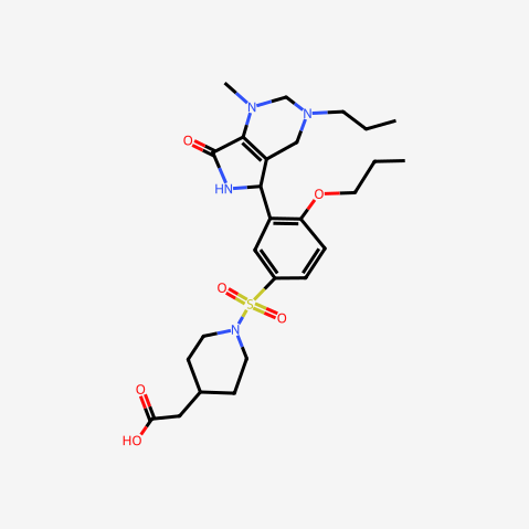 CCCOc1ccc(S(=O)(=O)N2CCC(CC(=O)O)CC2)cc1C1NC(=O)C2=C1CN(CCC)CN2C